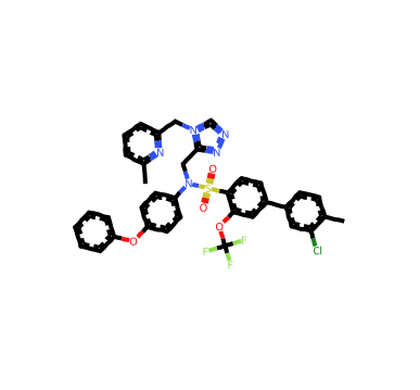 Cc1cccc(Cn2cnnc2CN(c2ccc(Oc3ccccc3)cc2)S(=O)(=O)c2ccc(-c3ccc(C)c(Cl)c3)cc2OC(F)(F)F)n1